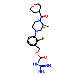 C[C@H]1CN(c2cccc(COC(=O)NC(=N)N)c2F)CCN1C(=O)C1CCOCC1